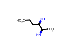 N=C(CCC(=O)O)C(=N)C(=O)O